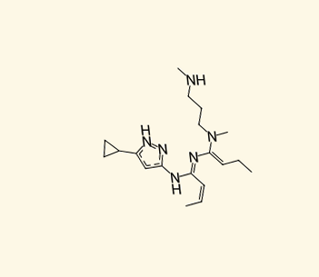 C\C=C/C(=N\C(=C\CC)N(C)CCCNC)Nc1cc(C2CC2)[nH]n1